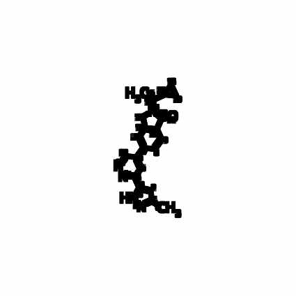 Cc1cc(-c2cc(-c3ccc4c(c3)CN(C(C)C3CC3)C4=O)cnn2)[nH]n1